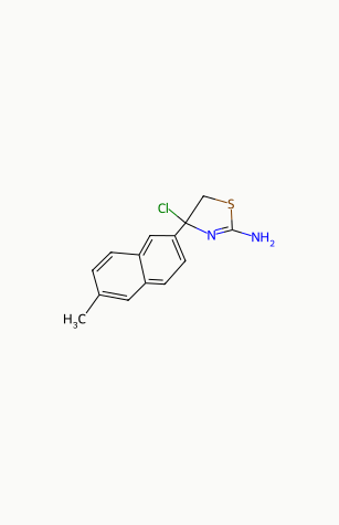 Cc1ccc2cc(C3(Cl)CSC(N)=N3)ccc2c1